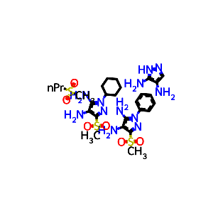 CS(=O)(=O)c1nn(-c2ccccc2)c(N)c1N.CS(=O)(=O)c1nn(C2CCCCC2)c(N)c1N.Nc1cn[nH]c1N.[CH2]CCS(C)(=O)=O